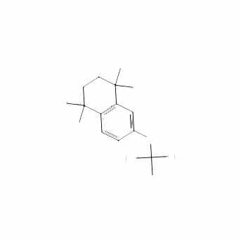 CCC(C)(CC)Sc1ccc2c(c1)C(C)(C)CCC2(C)C